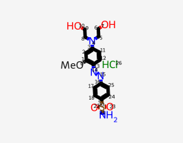 COc1cc(N(CCO)CCO)ccc1N=Nc1ccc(S(N)(=O)=O)cc1.Cl